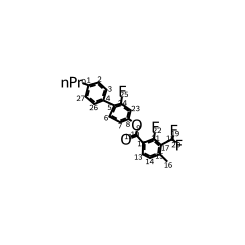 CCCc1ccc(-c2ccc(OC(=O)c3ccc(C)c(C(F)F)c3F)cc2F)cc1